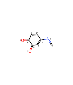 C=NC1=CC(=O)C(=O)C=C1